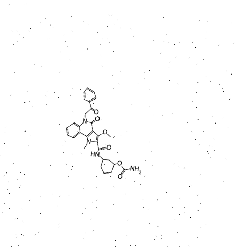 COc1c(C(=O)NC2CCCC(OC(N)=O)C2)n(C)c2c1c(=O)n(CC(=O)c1ccccc1)c1ccccc21